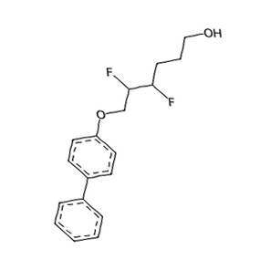 OCCCC(F)C(F)COc1ccc(-c2ccccc2)cc1